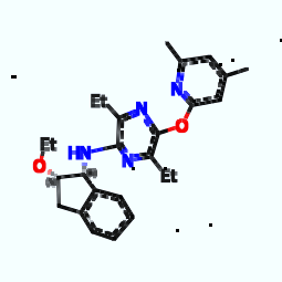 CCO[C@H]1Cc2ccccc2[C@H]1Nc1nc(CC)c(Oc2cc(C)cc(C)n2)nc1CC